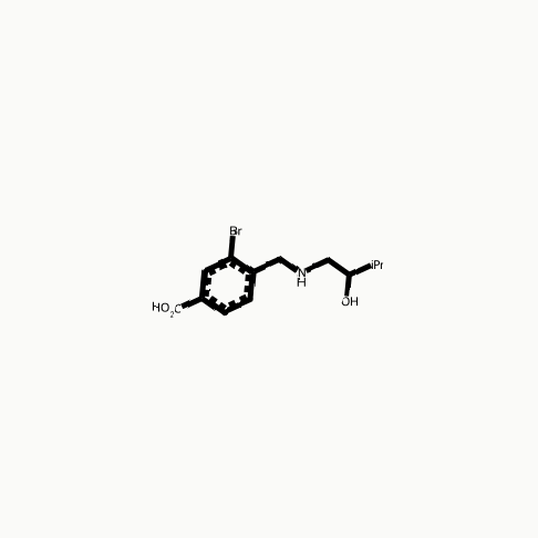 CC(C)C(O)CNCc1ccc(C(=O)O)cc1Br